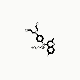 Cc1cc(N(NC(=O)O)c2ccc(N(CCCl)CCCl)cc2)c2cc(F)ccc2n1